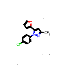 FC(F)(F)c1cc(-c2ccco2)n(-c2ccc(Cl)cc2)n1